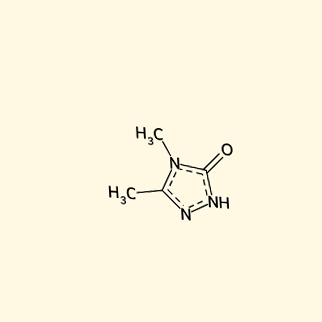 Cc1n[nH]c(=O)n1C